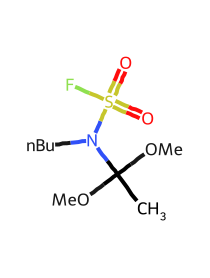 CCCCN(C(C)(OC)OC)S(=O)(=O)F